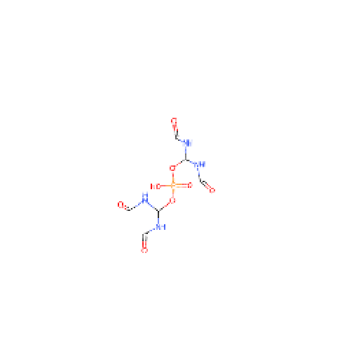 O=CNC(NC=O)OP(=O)(O)OC(NC=O)NC=O